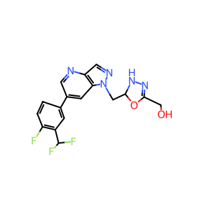 OCC1=NNC(Cn2ncc3ncc(-c4ccc(F)c(C(F)F)c4)cc32)O1